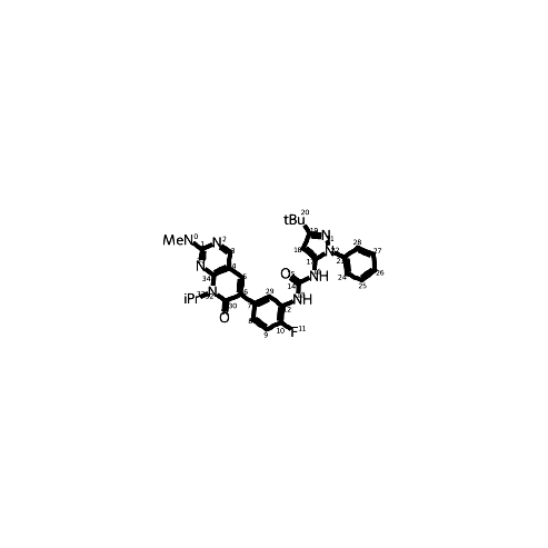 CNc1ncc2cc(-c3ccc(F)c(NC(=O)Nc4cc(C(C)(C)C)nn4-c4ccccc4)c3)c(=O)n(C(C)C)c2n1